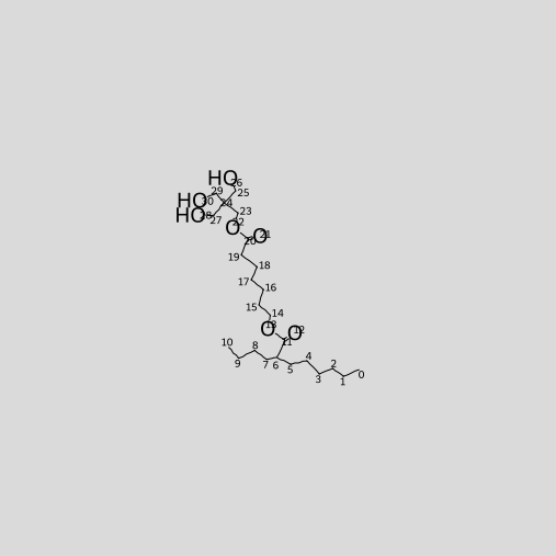 CCCCCCC(CCCC)C(=O)OCCCCCCC(=O)OCC(CO)(CO)CO